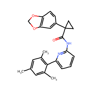 Cc1cc(C)c(-c2cccc(NC(=O)C3(c4ccc5c(c4)OCO5)CC3)n2)c(C)c1